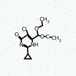 CCOC(OCC)c1[nH]c(C2CC2)nc(=O)c1Cl